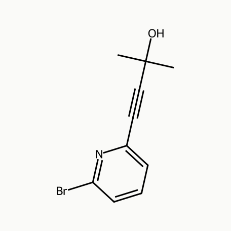 CC(C)(O)C#Cc1cccc(Br)n1